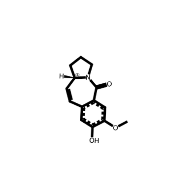 COc1cc2c(cc1O)C=C[C@@H]1CCCN1C2=O